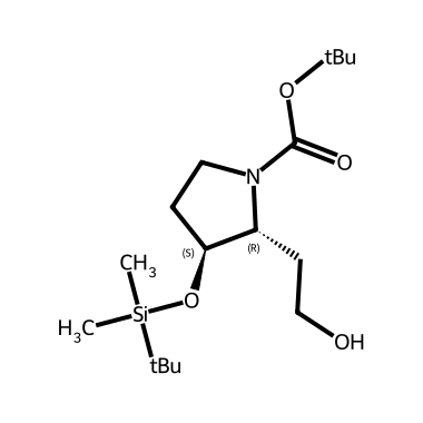 CC(C)(C)OC(=O)N1CC[C@H](O[Si](C)(C)C(C)(C)C)[C@H]1CCO